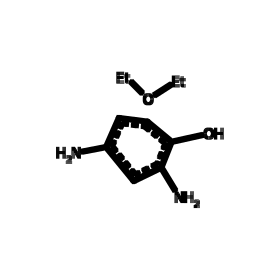 CCOCC.Nc1ccc(O)c(N)c1